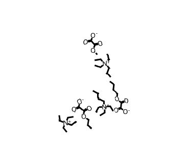 CCCCOC(=O)C(=O)[O-].CCCC[N+](CC)(CC)CC.CCCOC(=O)C(=O)[O-].CCC[N+](CC)(CC)CC.CC[N+](CC)(CC)CC.COC(=O)C(=O)[O-]